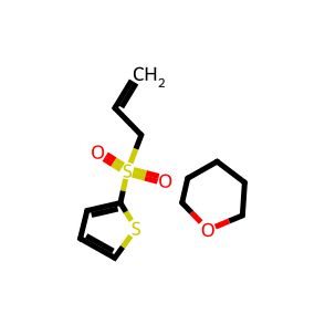 C1CCOCC1.C=CCS(=O)(=O)c1cccs1